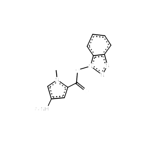 CC(=O)Nc1cc(C(=O)On2nnc3ccccc32)n(C)c1